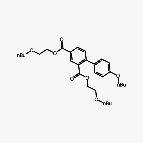 CCCCOCCOC(=O)c1ccc(-c2ccc(OCCCC)cc2)c(C(=O)OCCOCCCC)c1